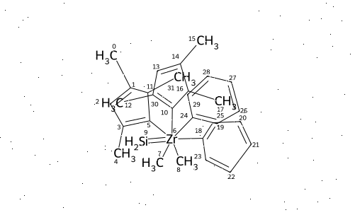 CC1=CC(C)=[C]([Zr]([CH3])([CH3])(=[SiH2])([C]2=C(C)C=C(C)C2C)([c]2ccccc2)[c]2ccccc2)C1C